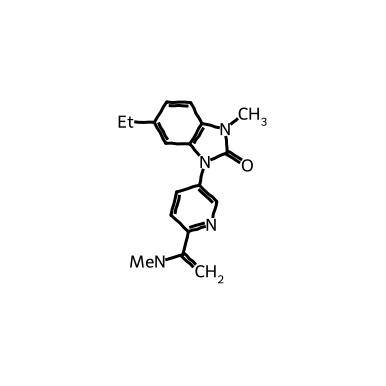 C=C(NC)c1ccc(-n2c(=O)n(C)c3ccc(CC)cc32)cn1